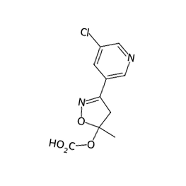 CC1(OC(=O)O)CC(c2cncc(Cl)c2)=NO1